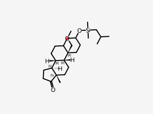 COC[C@]12CCC(O[Si](C)(C)CC(C)C)CC1CC[C@@H]1[C@H]2CC[C@]2(C)C(=O)CC[C@@H]12